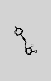 Cc1ccc(C#CCOc2cccc(Cl)c2Cl)cn1